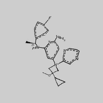 COC1(C2CC2)C[N+](c2cc(N)nc(N[C@@H](C)c3ccc(F)cc3)c2)(c2cnccn2)C1